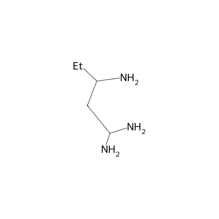 [CH2]CC(N)CC(N)N